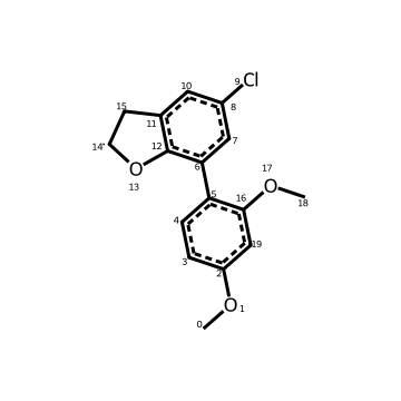 COc1ccc(-c2cc(Cl)cc3c2O[CH]C3)c(OC)c1